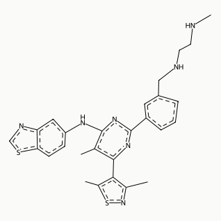 CNCCNCc1cccc(-c2nc(Nc3ccc4scnc4c3)c(C)c(-c3c(C)nsc3C)n2)c1